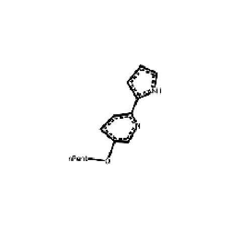 CCCCCOc1ccc(-c2ccc[nH]2)nc1